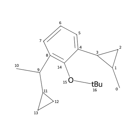 CC1CC1c1cccc(C(C)C2CC2)c1OC(C)(C)C